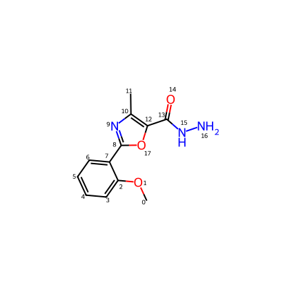 COc1ccccc1-c1nc(C)c(C(=O)NN)o1